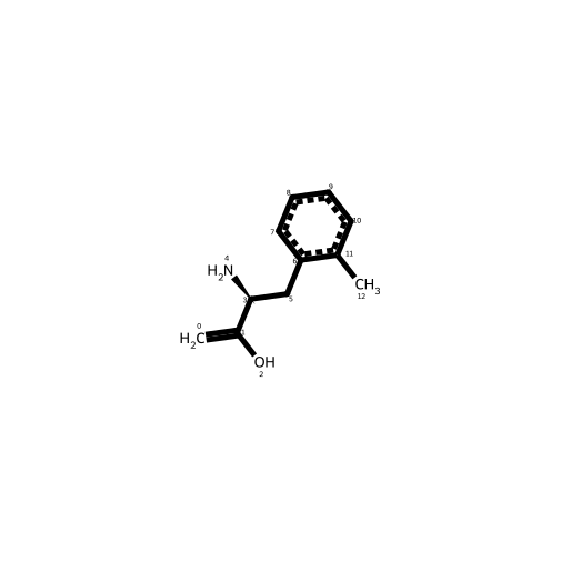 C=C(O)[C@@H](N)Cc1ccccc1C